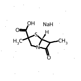 CC1C(=O)N2CC(C)(C(=O)O)S[C@H]12.[NaH]